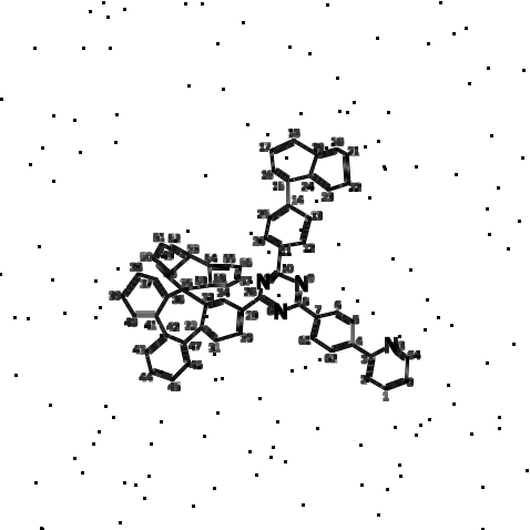 c1ccc(-c2ccc(-c3nc(-c4ccc(-c5cccc6ccccc56)cc4)nc(-c4ccc5c(c4)C4(c6ccccc6-c6ccccc6-5)c5ccccc5-c5ccccc54)n3)cc2)nc1